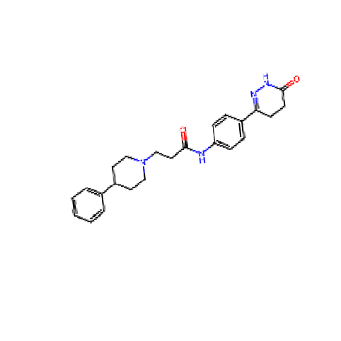 O=C1CCC(c2ccc(NC(=O)CCN3CCC(c4ccccc4)CC3)cc2)=NN1